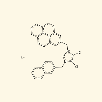 Clc1c(Cl)[n+](Cc2cc3ccc4cccc5ccc(c2)c3c45)cn1Cc1ccc2ccccc2c1.[Br-]